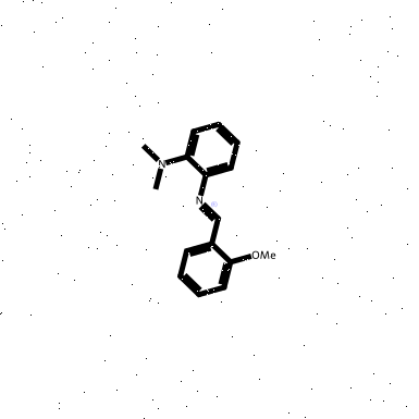 COc1ccccc1/C=N/c1ccccc1N(C)C